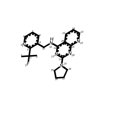 CC(C)(F)c1ncccc1CNc1nc(N2CCCC2)nc2ncccc12